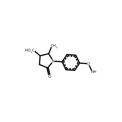 CCCOc1ccc(N2C(=O)CC(C(=O)O)C2C)cc1